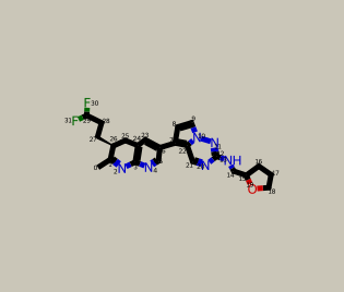 CC1=Nc2ncc(-c3ccn4nc(NCC5CCCO5)ncc34)cc2C[C@@H]1CCC(F)F